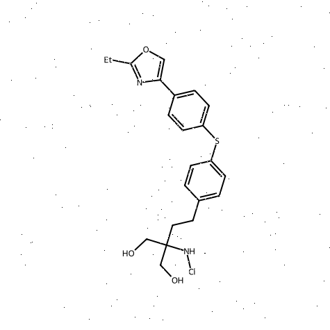 CCc1nc(-c2ccc(Sc3ccc(CCC(CO)(CO)NCl)cc3)cc2)co1